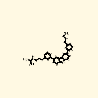 N=C(N)NCCCc1cccc(-c2ccc3sc4ccc(-c5cccc(CCCN)c5)cc4c3c2)c1